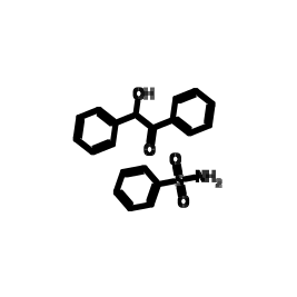 NS(=O)(=O)c1ccccc1.O=C(c1ccccc1)C(O)c1ccccc1